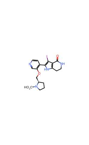 O=C1NCCc2[nH]c(-c3ccncc3OC[C@H]3CCCN3C(=O)O)c(I)c21